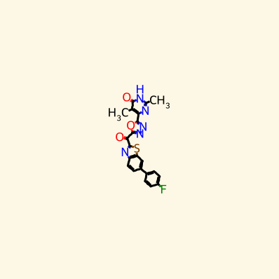 Cc1nc(-c2nnc(C(=O)c3nc4ccc(-c5ccc(F)cc5)cc4s3)o2)c(C)c(=O)[nH]1